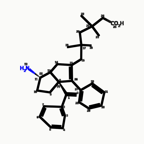 C=C(c1ccccc1)[C@@]12CC[C@H](N)C1CC(CC(C)(C)CC(C)(C)CC(=O)O)=C2c1ccccc1